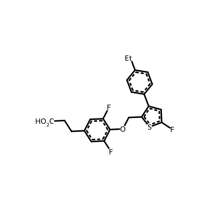 CCc1ccc(-c2cc(F)sc2COc2c(F)cc(CCC(=O)O)cc2F)cc1